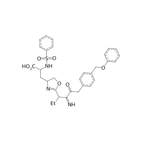 CCC(C(=N)C(=O)Cc1ccc(COc2ccccc2)cc1)C1=NC(CC(NS(=O)(=O)c2ccccc2)C(=O)O)CO1